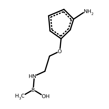 CB(O)NCCOc1cccc(N)c1